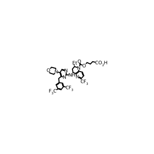 CC[C@@H]1C[C@H](Nc2ncc(N3CCOCC3)c(Cc3cc(C(F)(F)F)cc(C(F)(F)F)c3)n2)c2nc(C(F)(F)F)ccc2N1C(=O)OCCCC(=O)O